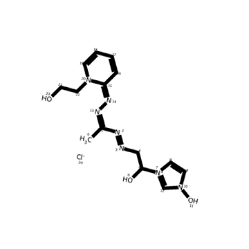 CC(N=NCC(O)[n+]1ccn(O)c1)=NN=c1ccccn1CCO.[Cl-]